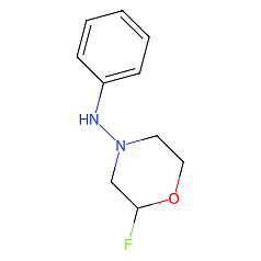 FC1CN(Nc2ccccc2)CCO1